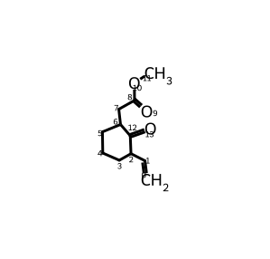 C=CC1CCCC(CC(=O)OC)C1=O